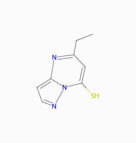 CCc1cc(S)n2nccc2n1